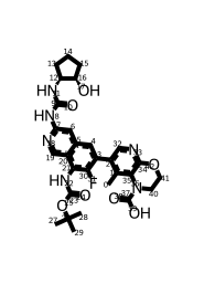 Cc1c(-c2cc3cc(NC(=O)N[C@H]4CCC[C@H]4O)ncc3c(NC(=O)OC(C)(C)C)c2F)cnc2c1N(C(=O)O)CCO2